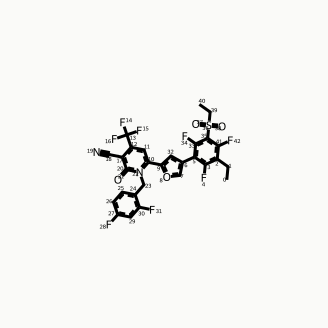 CCc1c(F)c(-c2coc(-c3cc(C(F)(F)F)c(C#N)c(=O)n3Cc3ccc(F)cc3F)c2)c(F)c(S(=O)(=O)CC)c1F